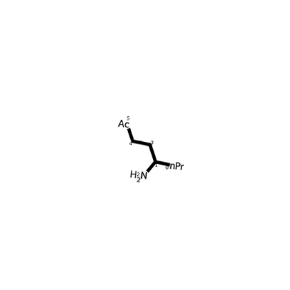 CCCC(N)CCC(C)=O